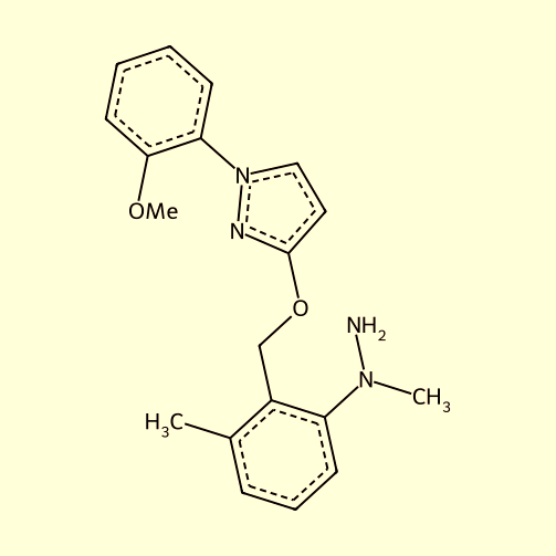 COc1ccccc1-n1ccc(OCc2c(C)cccc2N(C)N)n1